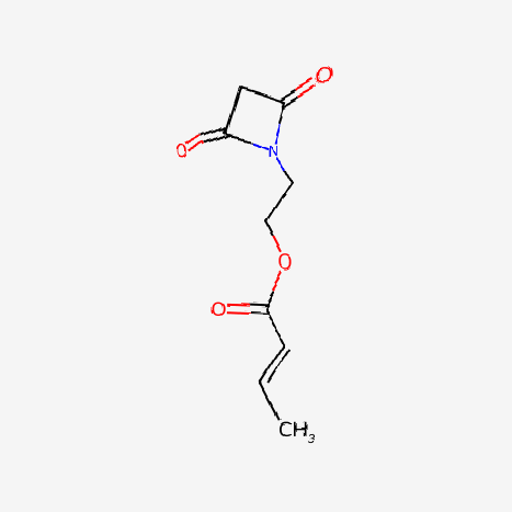 C/C=C/C(=O)OCCN1C(=O)CC1=O